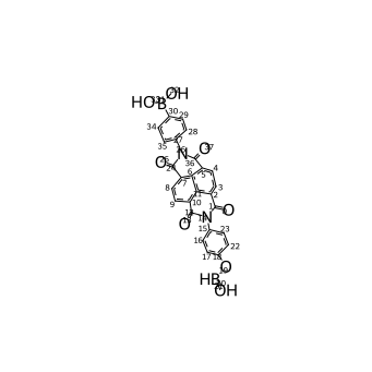 O=C1c2ccc3c4c(ccc(c24)C(=O)N1c1ccc(OBO)cc1)C(=O)N(c1ccc(B(O)O)cc1)C3=O